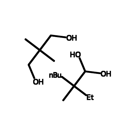 CC(C)(CO)CO.CCCCC(C)(CC)C(O)O